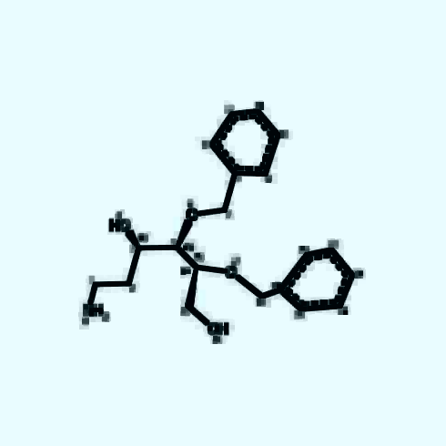 NCC[C@@H](O)[C@@H](OCc1ccccc1)[C@H](CO)OCc1ccccc1